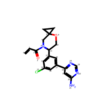 C=CC(=O)N1CC2(CC2)OCC1c1cc(Cl)cc(-c2cc(N)ncn2)c1